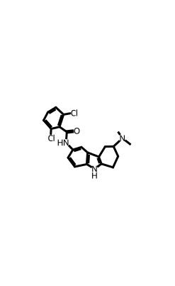 CN(C)C1CCc2[nH]c3ccc(NC(=O)c4c(Cl)cccc4Cl)cc3c2C1